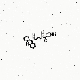 O=C(NCCCNc1c2c(nc3ccccc13)CCCC2)C1CCNC1